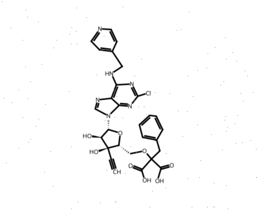 C#C[C@@]1(O)[C@@H](COC(Cc2ccccc2)(C(=O)O)C(=O)O)O[C@@H](n2cnc3c(NCc4ccncc4)nc(Cl)nc32)[C@@H]1O